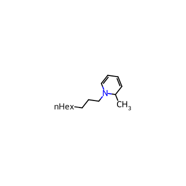 CCCCCCCCCN1C=CC=CC1C